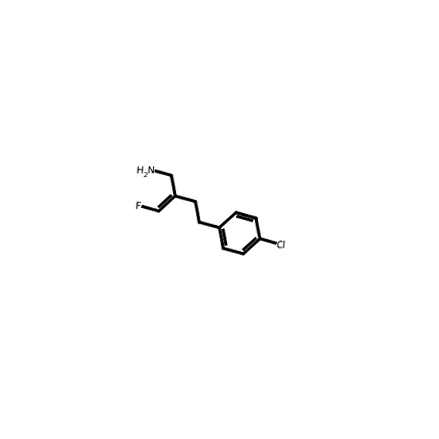 NCC(=CF)CCc1ccc(Cl)cc1